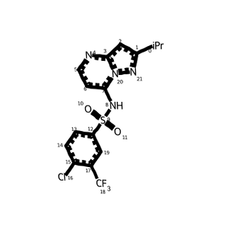 CC(C)c1cc2nccc(NS(=O)(=O)c3ccc(Cl)c(C(F)(F)F)c3)n2n1